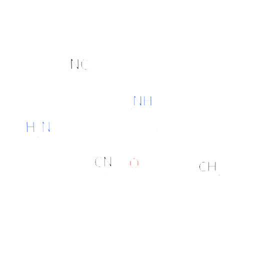 C=CC(=O)NC(C#N)C(N)C#N